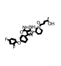 C[C@@H](O)C=CC(=O)N1CCC[C@@H](n2nc(-c3ccc(Oc4ccc(F)cc4F)cc3)c(C(N)=O)c2N)C1